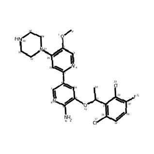 COc1cnc(-c2cnc(N)c(OC(C)c3c(Cl)ccc(F)c3Cl)c2)cc1N1CCNCC1